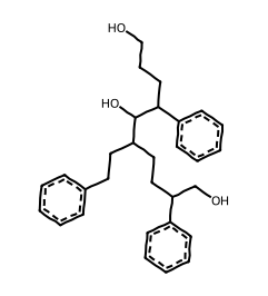 OCCCC(c1ccccc1)C(O)C(CCc1ccccc1)CCC(CO)c1ccccc1